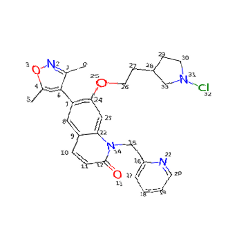 Cc1noc(C)c1-c1cc2ccc(=O)n(Cc3ccccn3)c2cc1OCCC1CCN(Cl)C1